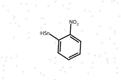 O=[N+]([O-])c1cccc[c]1[SnH]